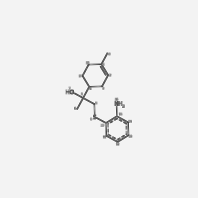 CC1=CCC(C(C)(O)CSc2ccccc2N)CC1